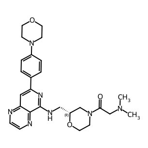 CN(C)CC(=O)N1CCO[C@H](CNc2nc(-c3ccc(N4CCOCC4)cc3)cc3nccnc23)C1